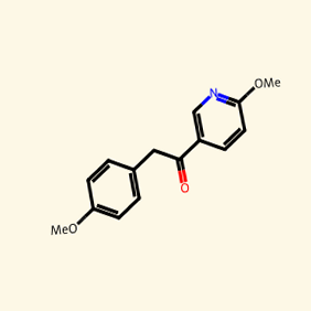 COc1ccc(CC(=O)c2ccc(OC)nc2)cc1